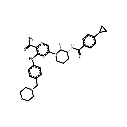 C[C@@H]1[C@H](NC(=O)c2ccc(C3CC3)cc2)CCCN1c1cnc(C(N)=O)c(Nc2ccc(CN3CCOCC3)cc2)n1